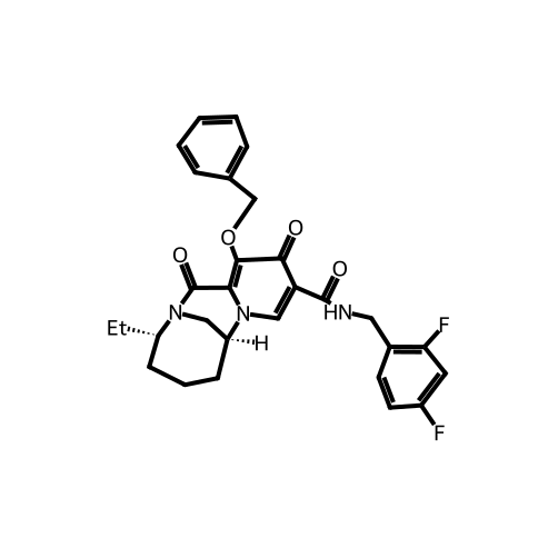 CC[C@H]1CCC[C@H]2CN1C(=O)c1c(OCc3ccccc3)c(=O)c(C(=O)NCc3ccc(F)cc3F)cn12